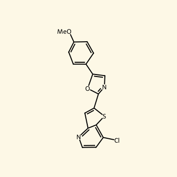 COc1ccc(-c2cnc(-c3cc4nccc(Cl)c4s3)o2)cc1